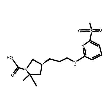 CC1(C)C[C@H](CCCNc2cccc(S(C)(=O)=O)n2)CN1C(=O)O